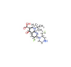 CC(C)(C)n1cc(C(=O)O)c(=O)c2cc(F)c(N3CCNCC3CF)nc21